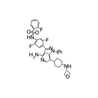 CC(C)n1nc(-c2cc(F)c(NS(=O)(=O)c3ccccc3F)cc2F)c2c(N)ncc(C3CCC(NC4COC4)CC3)c21